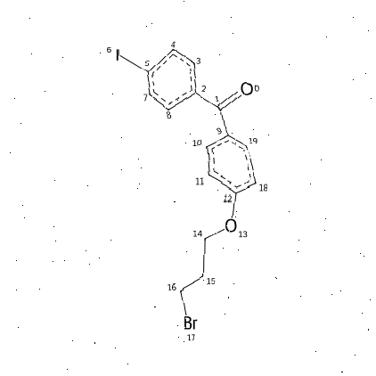 O=C(c1ccc(I)cc1)c1ccc(OCCCBr)cc1